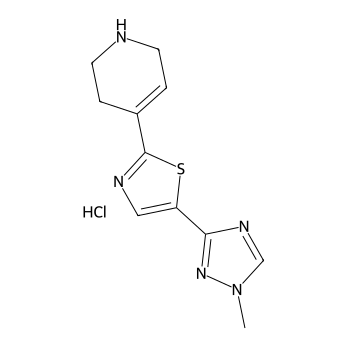 Cl.Cn1cnc(-c2cnc(C3=CCNCC3)s2)n1